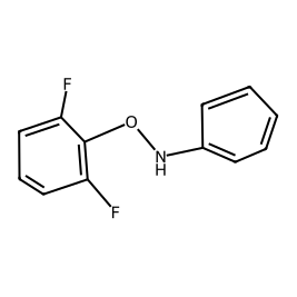 Fc1cccc(F)c1ONc1ccccc1